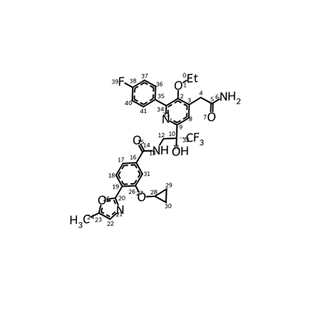 CCOc1c(CC(N)=O)cc([C@@](O)(CNC(=O)c2ccc(-c3ncc(C)o3)c(OC3CC3)c2)C(F)(F)F)nc1-c1ccc(F)cc1